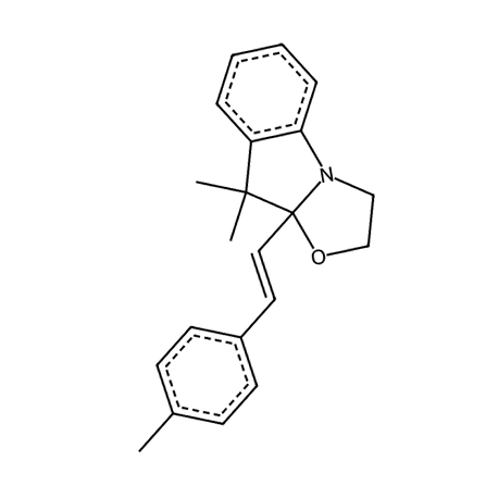 Cc1ccc(/C=C/C23OCCN2c2ccccc2C3(C)C)cc1